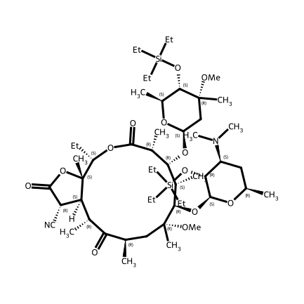 CC[C@@H]1OC(=O)[C@H](C)[C@H](O[C@@H]2C[C@@](C)(OC)[C@@H](O[Si](CC)(CC)CC)[C@H](C)O2)[C@H](C)[C@@H](O[C@@H]2O[C@H](C)C[C@H](N(C)C)[C@H]2O[Si](CC)(CC)CC)[C@](C)(OC)C[C@@H](C)C(=O)[C@H](C)[C@H]2[C@H](C#N)C(=O)O[C@@]21C